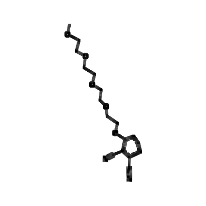 COCCOCCOCCOCCOc1cccc(C#N)c1C#N